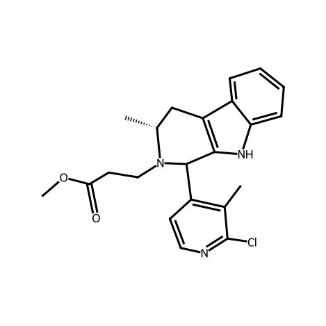 COC(=O)CCN1C(c2ccnc(Cl)c2C)c2[nH]c3ccccc3c2C[C@H]1C